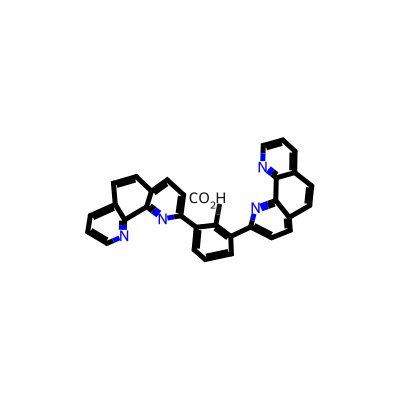 O=C(O)c1c(-c2ccc3ccc4cccnc4c3n2)cccc1-c1ccc2ccc3cccnc3c2n1